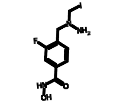 NN(CI)Cc1ccc(C(=O)NO)cc1F